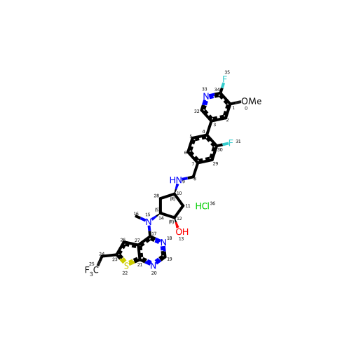 COc1cc(-c2ccc(CN[C@H]3C[C@@H](O)[C@@H](N(C)c4ncnc5sc(CC(F)(F)F)cc45)C3)cc2F)cnc1F.Cl